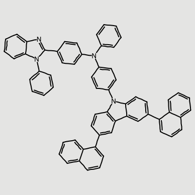 c1ccc(N(c2ccc(-c3nc4ccccc4n3-c3ccccc3)cc2)c2ccc(-n3c4ccc(-c5cccc6ccccc56)cc4c4cc(-c5cccc6ccccc56)ccc43)cc2)cc1